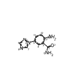 NC(=O)c1cc(-n2cncn2)ccc1N